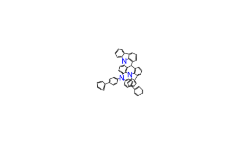 c1ccc(-c2ccc(N(c3ccc(-c4ccccc4)cc3)c3ccc4c5c3-n3c6ccccc6c6cccc(c63)C5c3cccc5c6ccccc6n-4c35)cc2)cc1